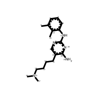 Cc1cccc(Nc2ncc(CCCCN(C)C)c(N)n2)c1C